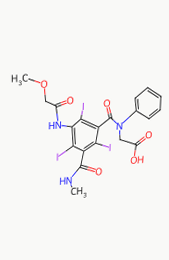 CNC(=O)c1c(I)c(NC(=O)COC)c(I)c(C(=O)N(CC(=O)O)c2ccccc2)c1I